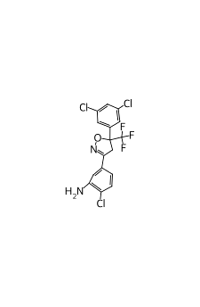 Nc1cc(C2=NOC(c3cc(Cl)cc(Cl)c3)(C(F)(F)F)C2)ccc1Cl